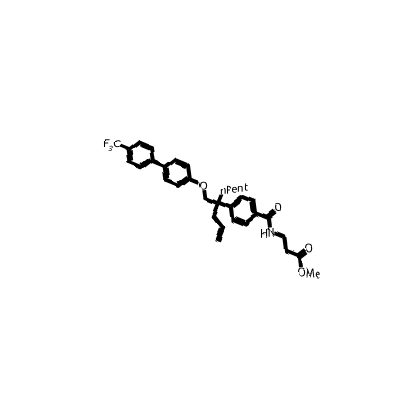 C=CCC(CCCCC)(COc1ccc(-c2ccc(C(F)(F)F)cc2)cc1)c1ccc(C(=O)NCCC(=O)OC)cc1